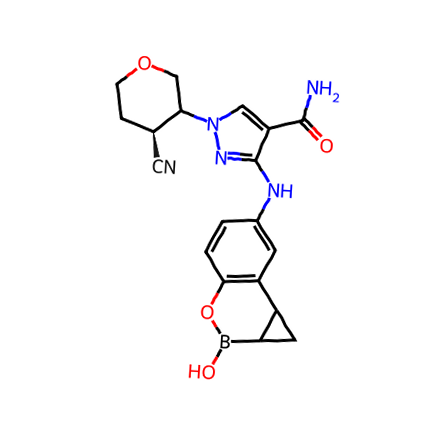 N#C[C@H]1CCOCC1n1cc(C(N)=O)c(Nc2ccc3c(c2)C2CC2B(O)O3)n1